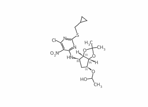 CC(O)O[C@H]1C[C@@H](Nc2nc(SCC3CC3)nc(Cl)c2[N+](=O)[O-])[C@@H]2OC(C)(C)O[C@@H]21